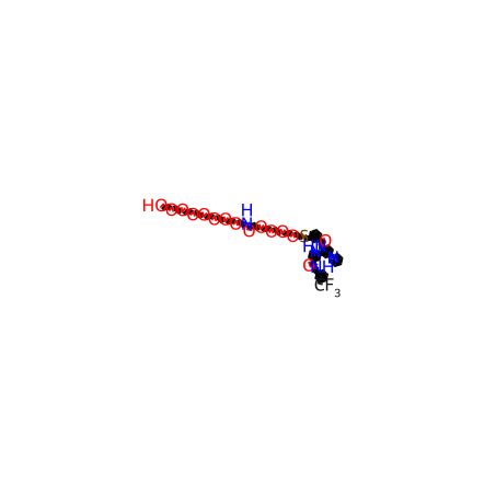 O=C(CCOCCOCCOCCOCCSCc1cccc(C(=O)Nc2ccc(N3CCCCC3)cc2-c2cc(C(=O)NCc3cccc(C(F)(F)F)c3)ccn2)c1)NCCOCCOCCOCCOCCOCCOCCOCCO